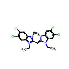 CCN1C(=Cc2n(CC)c3cc(Cl)c(Cl)cc3[n+]2C)N(C)c2cc(Cl)c(Cl)cc21